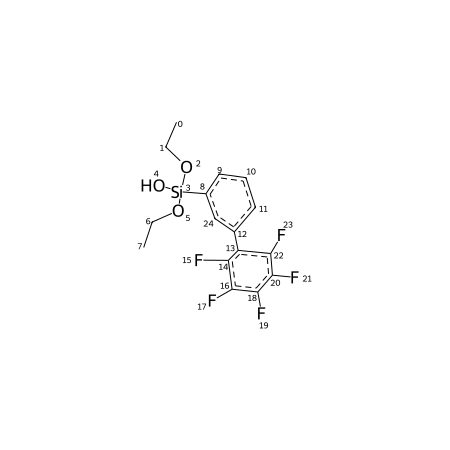 CCO[Si](O)(OCC)c1cccc(-c2c(F)c(F)c(F)c(F)c2F)c1